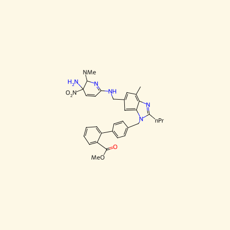 CCCc1nc2c(C)cc(CNC3=NC(NC)C(N)([N+](=O)[O-])C=C3)cc2n1Cc1ccc(-c2ccccc2C(=O)OC)cc1